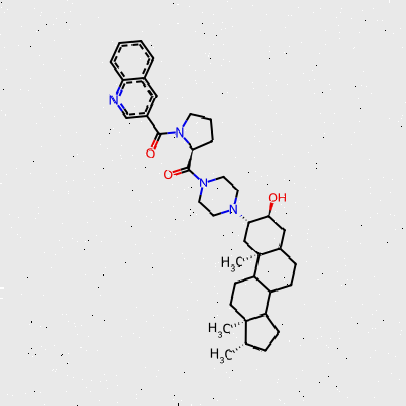 C[C@H]1CCC2C3CCC4C[C@H](O)[C@@H](N5CCN(C(=O)[C@@H]6CCCN6C(=O)c6cnc7ccccc7c6)CC5)C[C@]4(C)C3CC[C@@]21C